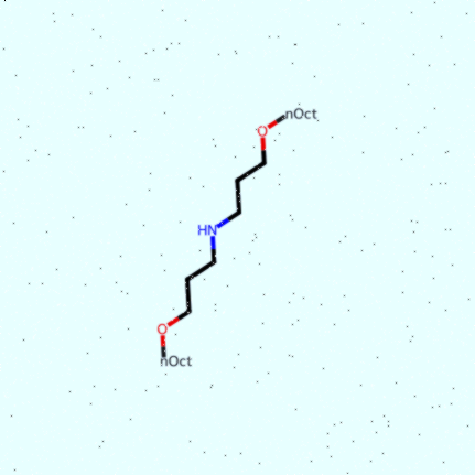 CCCCCCCCOCCCNCCCOCCCCCCCC